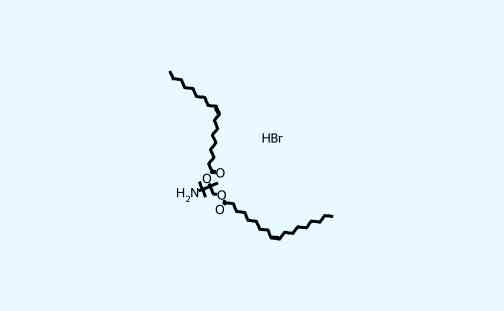 Br.CCCCCCCC/C=C\CCCCCCCC(=O)OCC(C)(OC(=O)CCCCCCC/C=C\CCCCCCCC)C(C)(C)N